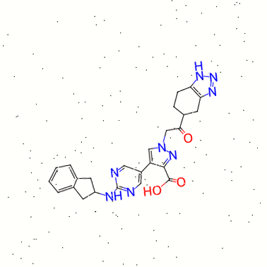 O=C(O)c1nn(CC(=O)C2CCc3[nH]nnc3C2)cc1-c1cnc(NC2Cc3ccccc3C2)nc1